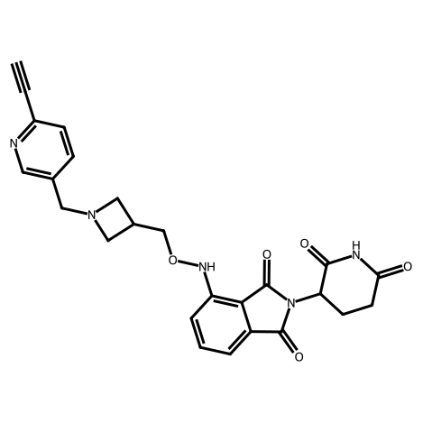 C#Cc1ccc(CN2CC(CONc3cccc4c3C(=O)N(C3CCC(=O)NC3=O)C4=O)C2)cn1